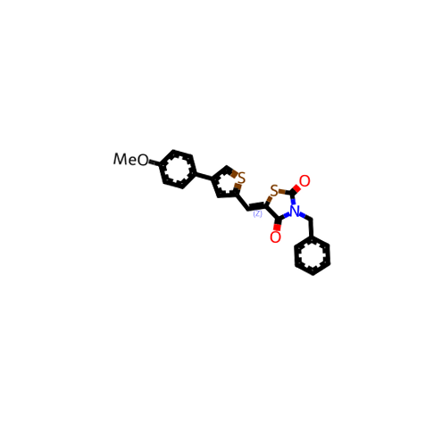 COc1ccc(-c2csc(/C=C3\SC(=O)N(Cc4ccccc4)C3=O)c2)cc1